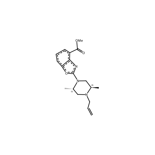 C=CCN1C[C@H](C)N(c2nc3c(C(=O)OC)cccc3o2)C[C@H]1C